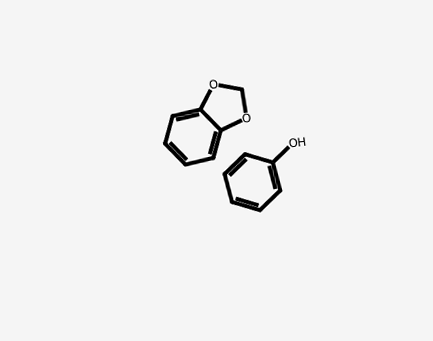 Oc1ccccc1.c1ccc2c(c1)OCO2